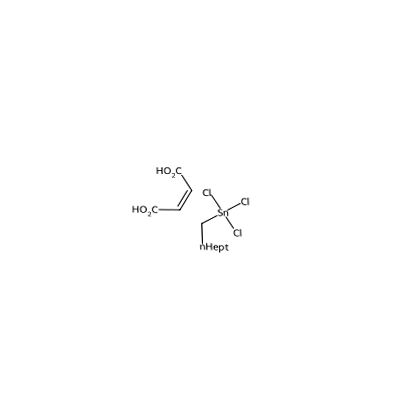 CCCCCCC[CH2][Sn]([Cl])([Cl])[Cl].O=C(O)/C=C\C(=O)O